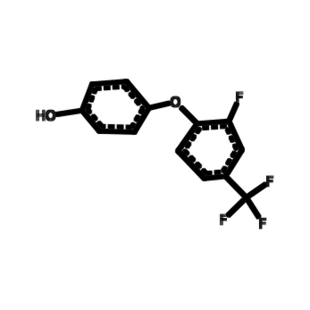 Oc1ccc(Oc2ccc(C(F)(F)F)cc2F)cc1